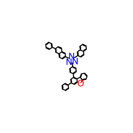 c1ccc(-c2ccc3cc(-c4nc(-c5ccc(-c6cc(-c7ccccc7)cc7oc8ccccc8c67)cc5)nc(-c5ccc6ccccc6c5)n4)ccc3c2)cc1